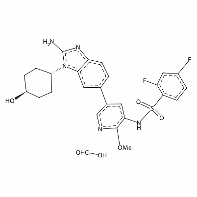 COc1ncc(-c2ccc3nc(N)n([C@H]4CC[C@H](O)CC4)c3c2)cc1NS(=O)(=O)c1ccc(F)cc1F.O=CO